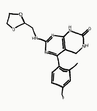 Cc1cc(F)ccc1-c1nc(NCC2OCCO2)nc2c1CNC(=O)N2